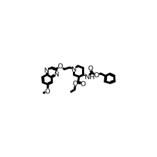 CCOC(=O)C1CN(CCOc2cnc3ccc(OC)cc3n2)CC[C@@H]1NC(=O)OCc1ccccc1